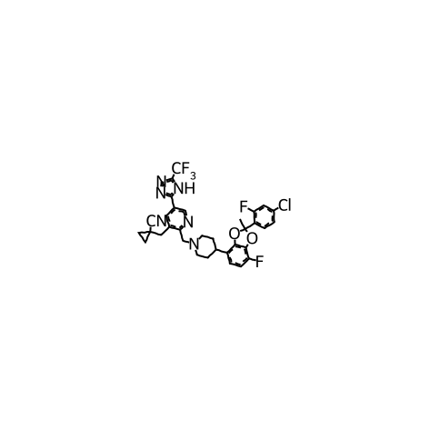 CC1(c2ccc(Cl)cc2F)Oc2c(F)ccc(C3CCN(Cc4ncc(-c5nnc(C(F)(F)F)[nH]5)cc4CC4(C#N)CC4)CC3)c2O1